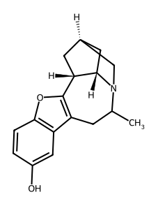 CC1Cc2c(oc3ccc(O)cc23)[C@@H]2C[C@H]3C[C@@H]2N1C3